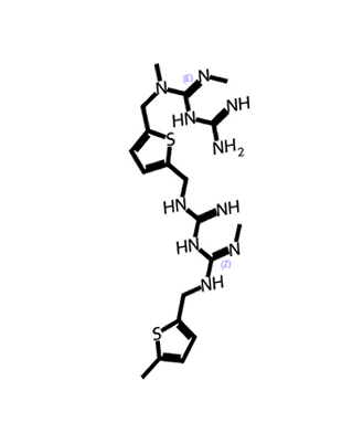 C/N=C(/NCc1ccc(C)s1)NC(=N)NCc1ccc(CN(C)/C(=N/C)NC(=N)N)s1